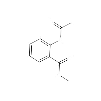 [CH2]OC(=O)c1ccccc1OC(C)=O